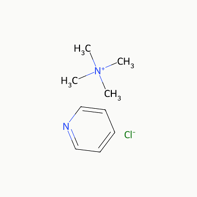 C[N+](C)(C)C.[Cl-].c1ccncc1